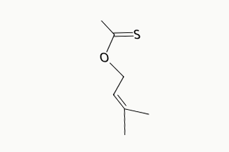 CC(=S)OCC=C(C)C